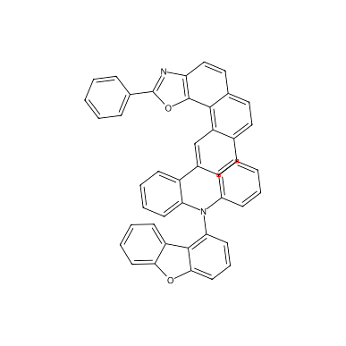 c1ccc(-c2nc3ccc4ccc5ccc(-c6ccccc6N(c6ccccc6)c6cccc7oc8ccccc8c67)cc5c4c3o2)cc1